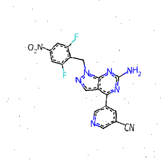 N#Cc1cncc(-c2nc(N)nc3c2cnn3Cc2c(F)cc([N+](=O)[O-])cc2F)c1